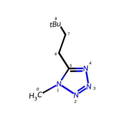 Cn1nnnc1CCC(C)(C)C